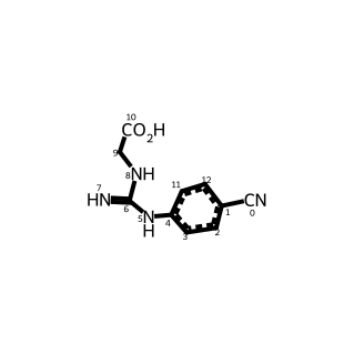 N#Cc1ccc(NC(=N)NCC(=O)O)cc1